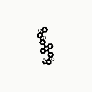 c1ccc2c(c1)oc1ccc3c4ccc(-c5c6ccccc6c(-c6ccc7oc8ccc9ccsc9c8c7c6)c6ccccc56)cc4oc3c12